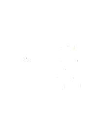 Nc1ccc(S)c(C(F)(F)C(F)(F)F)c1